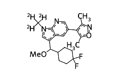 [2H]C([2H])([2H])n1cc(C(OC)C2CCC(F)(F)CC2)c2cc(-c3c(C)noc3C)cnc21